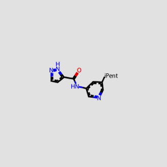 CCCC(C)c1cncc(NC(=O)c2ccn[nH]2)c1